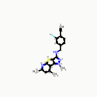 C#Cc1ccc(CNc2nn(C)c3c2sc2nc(C)cc(C)c23)cc1F